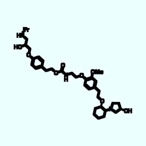 COc1cc(CCO[C@H]2CCCCC2N2CC[C@@H](O)C2)ccc1OCCNC(=O)OCCc1ccc(OCC(O)CNC(C)C)cc1